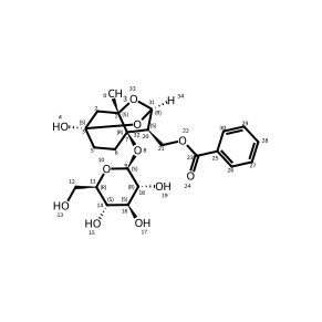 C[C@]12C[C@]3(O)CC[C@@]1(O[C@@H]1O[C@H](CO)[C@@H](O)[C@H](O)[C@H]1O)[C@H](COC(=O)c1ccccc1)[C@@H](O3)O2